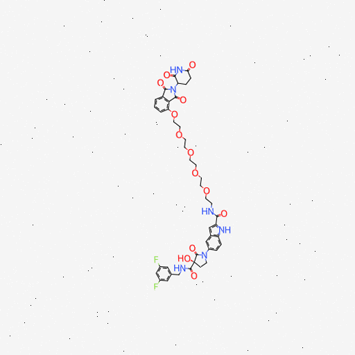 O=C1CCC(N2C(=O)c3cccc(OCCOCCOCCOCCOCCNC(=O)c4cc5cc(N6CC[C@](O)(C(=O)NCc7cc(F)cc(F)c7)C6=O)ccc5[nH]4)c3C2=O)C(=O)N1